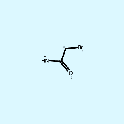 [NH]C(=O)CBr